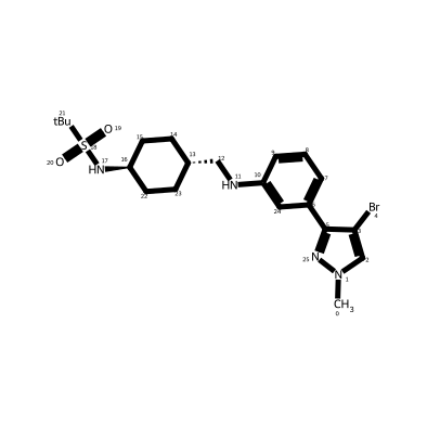 Cn1cc(Br)c(-c2cccc(NC[C@H]3CC[C@H](NS(=O)(=O)C(C)(C)C)CC3)c2)n1